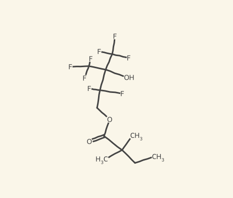 CCC(C)(C)C(=O)OCC(F)(F)C(O)(C(F)(F)F)C(F)(F)F